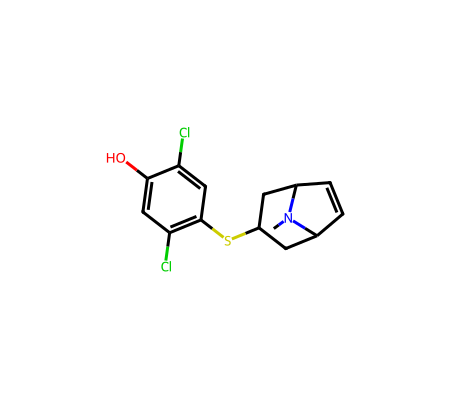 CN1C2C=CC1CC(Sc1cc(Cl)c(O)cc1Cl)C2